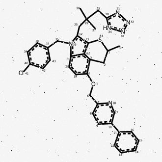 CC1Cc2c(OCc3ccc(-c4ccccc4)cn3)ccc3c2c(c(CC(C)(C)Cc2nnn[nH]2)n3Cc2ccc(Cl)cc2)S1